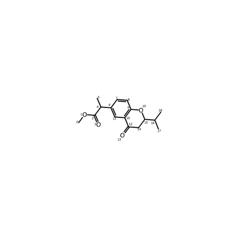 COC(=O)C(C)c1ccc2c(c1)C(=O)CC(C(C)C)O2